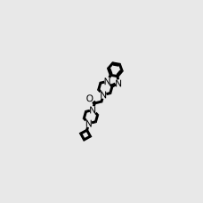 O=C(CN1CCn2c(nc3ccccc32)C1)N1CCN(C2CCC2)CC1